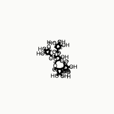 O=C(OC1OC2COC(=O)c3cc(O)c(O)c(O)c3-c3c(cc(O)c(O)c3O)C(=O)OC2C(O)C1OC(=O)c1cc(O)c(O)c(O)c1)c1cc(O)c(O)c(O)c1